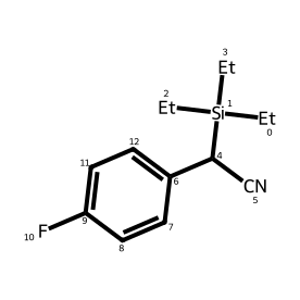 CC[Si](CC)(CC)C(C#N)c1ccc(F)cc1